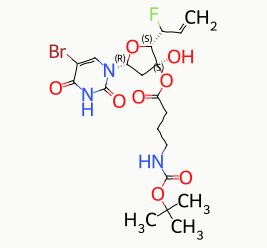 C=CC(F)[C@H]1O[C@@H](n2cc(Br)c(=O)[nH]c2=O)C[C@]1(O)OC(=O)CCCNC(=O)OC(C)(C)C